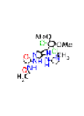 C=CC(=O)N[C@H]1CCOC[C@H]1Nc1cc2c(NC3CCCN(C)C3)nc(-c3c(Cl)c(OC)cc(OC)c3Cl)cc2cn1